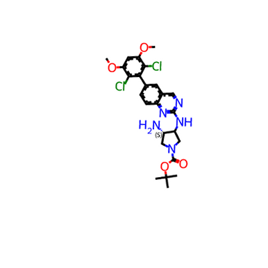 COc1cc(OC)c(Cl)c(-c2ccc3nc(NC4CN(C(=O)OC(C)(C)C)C[C@@H]4N)ncc3c2)c1Cl